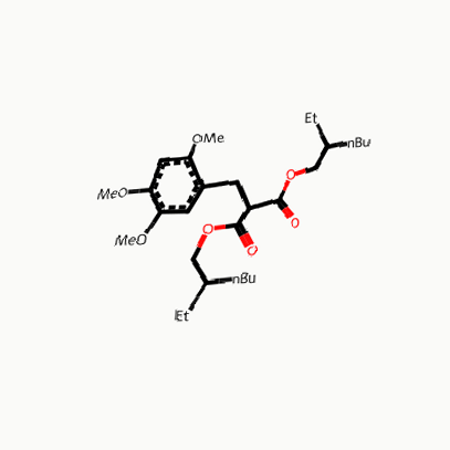 CCCCC(CC)COC(=O)C(Cc1cc(OC)c(OC)cc1OC)C(=O)OCC(CC)CCCC